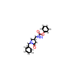 O=C(NCC1CC(=O)N(Cc2ccccc2)C1)Oc1ccccc1